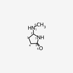 CNC1CCC(=O)N1